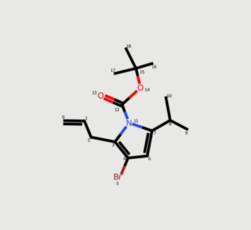 C=CCc1c(Br)cc(C(C)C)n1C(=O)OC(C)(C)C